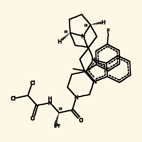 Cc1nc2ccccc2n1C1C[C@H]2CC[C@@H](C1)N2CCC1(c2cccc(F)c2)CCN(C(=O)[C@@H](NC(=O)C(Cl)Cl)C(C)C)CC1